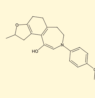 COc1ccc(N2C=C(O)C3=C(CCC4=C3CC(C)O4)CC2)cc1